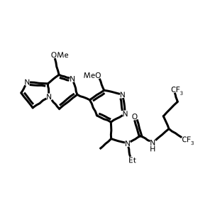 CCN(C(=O)NC(CCC(F)(F)F)C(F)(F)F)C(C)c1cc(-c2cn3ccnc3c(OC)n2)c(OC)nn1